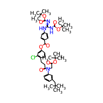 CC(C)(C)Cc1cccc(N(CC(=O)OC(C)(C)C)C(=O)CCc2ccc(OC(=O)c3ccc(N/C(=N\C(=O)OC(C)(C)C)NC(=O)OC(C)(C)C)cc3)cc2Cl)c1